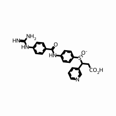 N=C(N)Nc1ccc(C(=O)Nc2ccc([S+]([O-])C(CC(=O)O)c3cccnc3)cc2)cc1